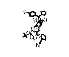 CC(C)(C)OC(=O)NC(CN1C[C@@H]2CC1C(=O)N2C(c1ccc(F)cc1)C1CCCC1)C(=O)N1CCCC1C#N